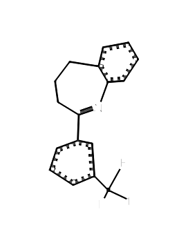 FC(F)(F)c1cccc(C2=Nc3ccccc3CCC2)c1